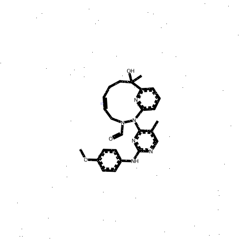 COc1ccc(Nc2ncc(C)c(N3c4cccc(n4)C(C)(O)CC/C=C\CN3C=O)n2)cc1